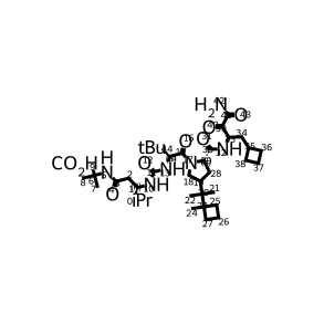 CC(C)[C@@H](CC(=O)NC(C)(C)C(=O)O)NC(=O)N[C@H](C(=O)N1CC(C(C)(C)C2(C)CCC2)C[C@H]1C(=O)NC(CC1CCC1)C(=O)C(N)=O)C(C)(C)C